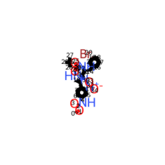 COC(=O)Nc1ccc(-c2c[nH]c([C@H](Cc3cccc(Br)c3)NC(=O)OC(C)(C)C)n2)c([N+](=O)[O-])c1